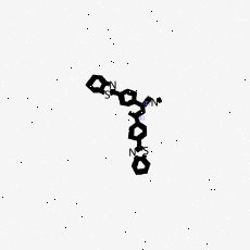 C=N/C=C(\C=C(/C)c1ccc(-c2nc3ccccc3s2)cc1)c1ccc(-c2nc3ccccc3s2)cc1